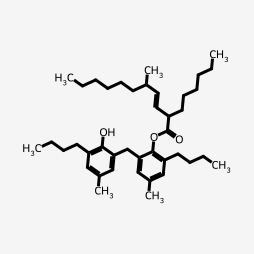 CCCCCCC(C)C=CC(CCCCCC)C(=O)Oc1c(CCCC)cc(C)cc1Cc1cc(C)cc(CCCC)c1O